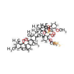 COc1cccc(OC)c1C(=O)P(=O)(CC(C)CC(C)(C)C)C(=O)c1c(OC)cccc1OC.Cc1cc(C)c(C(=O)c2ccccc2C(=O)c2c(C)cc(C)cc2C)c(C)c1.P